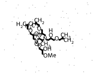 C=C(C)COCC(O)CN(CC(C)N(CC(O)COCC(=C)C)CC(O)COCC(=C)C)OOCC(O)COC